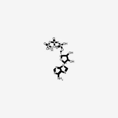 Nc1ncnc2c1ncn2[C@@H]1O[C@H](COP(=O)(O)SP(=O)(O)OP(=O)(O)O)C(O)C1O